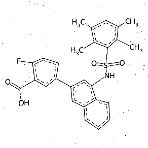 Cc1cc(C)c(C)c(S(=O)(=O)Nc2cc(-c3ccc(F)c(C(=O)O)c3)cc3ccccc23)c1C